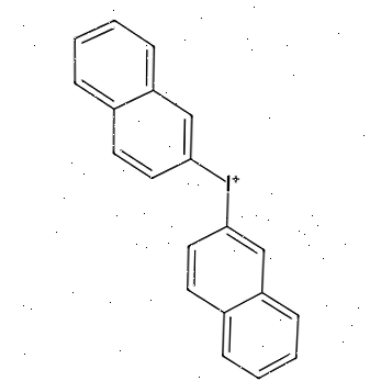 c1ccc2cc([I+]c3ccc4ccccc4c3)ccc2c1